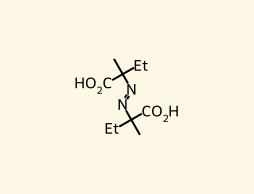 CCC(C)(N=NC(C)(CC)C(=O)O)C(=O)O